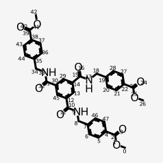 COC(=O)c1ccc(CNC(=O)c2cc(C(=O)NCc3ccc(C(=O)OC)cc3)cc(C(=O)NCc3ccc(C(=O)OC)cc3)c2)cc1